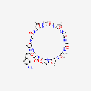 CC[C@@H]1NC(=O)C([C@H](O)[C@H](C)C/C=C(/C)c2ccc(N)cc2)N(C)C(=O)C(C(C)C)N(C)C(=O)[C@H](CC(C)C)N(C)C(=O)C(C(C)C)N(C)C(=O)[C@H](C)NC(=O)[C@H](C)NC(=O)[C@H](CC(C)C)N(C)C(=O)[C@H](C(C)C)NC(=O)[C@H](CC(C)C)N(C)C(=O)CN(C)C1=O